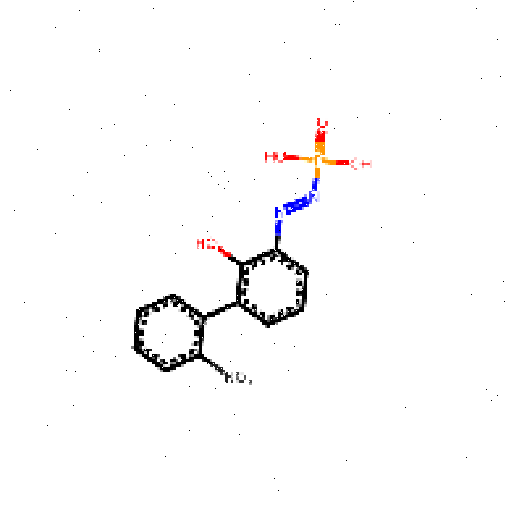 O=[N+]([O-])c1ccccc1-c1cccc(/N=N/P(=O)(O)O)c1O